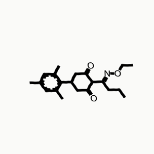 CCCC(=NOCC)C1C(=O)CC(c2c(C)cc(C)cc2C)CC1=O